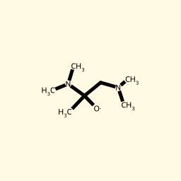 CN(C)CC(C)([O])N(C)C